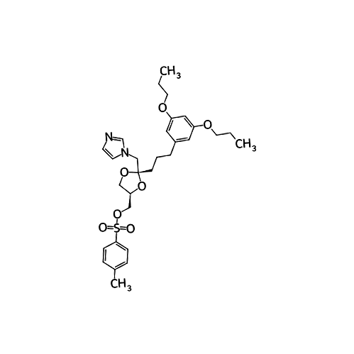 CCCOc1cc(CCC[C@]2(Cn3ccnc3)OC[C@H](COS(=O)(=O)c3ccc(C)cc3)O2)cc(OCCC)c1